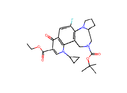 CCOC(=O)c1cn(C2CC2)c2c3c(c(F)cc2c1=O)N1CCCC1CN(C(=O)OC(C)(C)C)C3